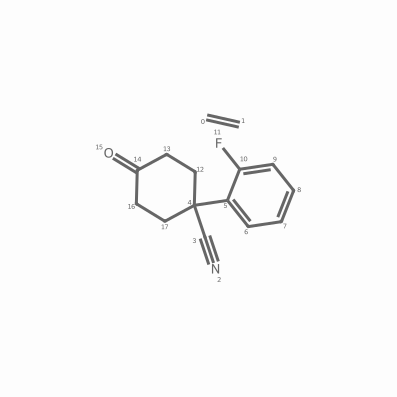 C=C.N#CC1(c2ccccc2F)CCC(=O)CC1